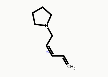 C=C/C=C\CN1CCCC1